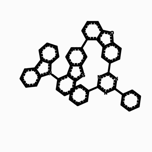 c1ccc(-c2nc(-c3ccccc3)nc(-c3ccc4oc5cccc(-c6ccc7c(c6)sc6cccc(-n8c9ccccc9c9ccccc98)c67)c5c4c3)n2)cc1